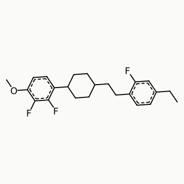 CCc1ccc(CCC2CCC(c3ccc(OC)c(F)c3F)CC2)c(F)c1